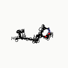 CNN(C)Cc1cc2ccccc2n1CCC(=O)N[C@@H](CCC(=O)O)CNCCOCCOCCC(=O)NC(C(=O)N[C@@H](C)C(=O)N(C)[C@@H](C)C(=O)O[C@H]1CC(=O)N(C)c2cc(cc(OC)c2Cl)C/C(C)=C/C=C/[C@@H](OC)[C@@]2(O)C[C@H](OC(=O)N2)[C@@H](C)CC1(C)O)C(C)C